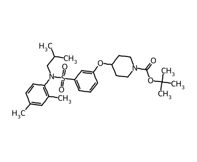 Cc1ccc(N(CC(C)C)S(=O)(=O)c2cccc(OC3CCN(C(=O)OC(C)(C)C)CC3)c2)c(C)c1